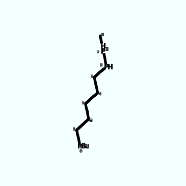 CCCCCCCCCP[PH3]C